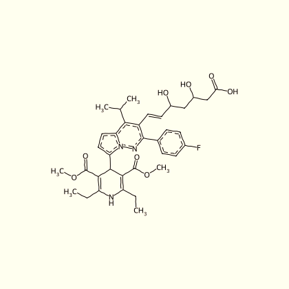 CCC1=C(C(=O)OC)C(c2ccc3c(C(C)C)c(/C=C/C(O)CC(O)CC(=O)O)c(-c4ccc(F)cc4)nn23)C(C(=O)OC)=C(CC)N1